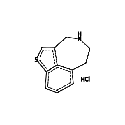 Cl.c1cc2c3c(csc3c1)CNCC2